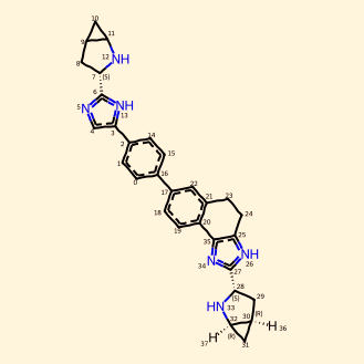 c1cc(-c2cnc([C@@H]3CC4CC4N3)[nH]2)ccc1-c1ccc2c(c1)CCc1[nH]c([C@@H]3C[C@H]4C[C@H]4N3)nc1-2